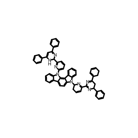 C1=CCCC(C2=NC(C3=NC(n4c5ccccc5c5c6c(ccc54)c4ccccc4n6-c4cccc(C5N=C(c6ccccc6)C=C(c6ccccc6)N5)n4)CC=C3)=NC(c3ccccc3)C2)=C1